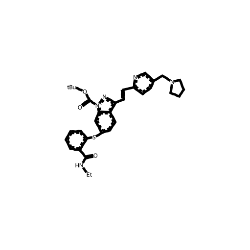 CCNC(=O)c1ccccc1Sc1ccc2c(/C=C/c3ccc(CN4CCCC4)cn3)nn(C(=O)OC(C)(C)C)c2c1